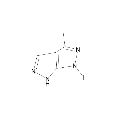 Cc1nn(I)c2[nH]ncc12